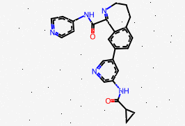 O=C(Nc1ccncc1)C1=NCCCc2ccc(-c3cncc(NC(=O)C4CC4)c3)cc21